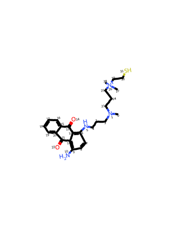 CN(CCCNc1ccc(N)c2c1C(=O)c1ccccc1C2=O)CCC[N+](C)(C)CCS